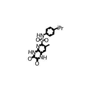 Cc1cc2[nH]c(=O)c(=O)[nH]c2nc1S(=O)(=O)Nc1ccc(C(C)C)cc1